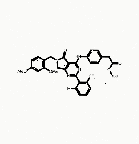 COc1ccc(CN2Cc3nc(-c4c(F)cccc4C(F)(F)F)nc(Nc4ccc(CC(=O)OC(C)(C)C)cc4)c3C2=O)c(OC)c1